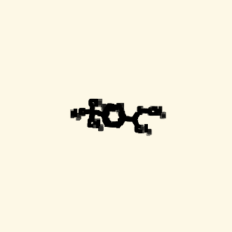 CSC(C)c1ccc(C(C)(C)C)cn1